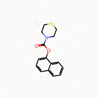 O=C(Oc1cccc2ccccc12)N1CCSCC1